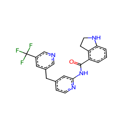 O=C(Nc1cc(Cc2cncc(C(F)(F)F)c2)ccn1)c1cccc2c1CCN2